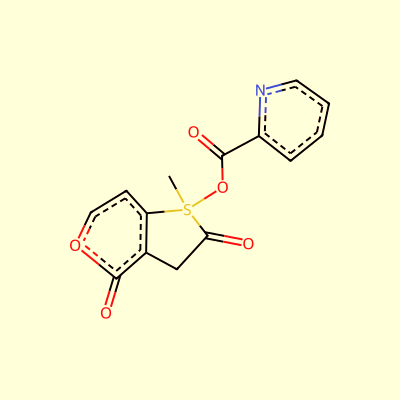 CS1(OC(=O)c2ccccn2)C(=O)Cc2c1ccoc2=O